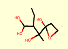 CCC(C(O)O)C(C)(O)[C@]1(O)CCO1